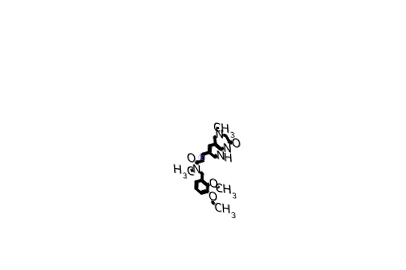 CCOc1cccc(CN(C)C(=O)/C=C/c2cnc3c(c2)CN(C)CC(=O)N3)c1OC